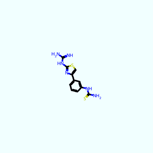 N=C(N)Nc1nc(-c2cccc(NC(N)=S)c2)cs1